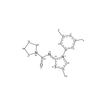 Cc1cc(C)cc(-n2cc(C)sc2=NC(=O)N2CCCC2)c1